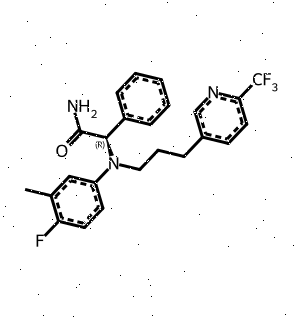 Cc1cc(N(CCCc2ccc(C(F)(F)F)nc2)[C@@H](C(N)=O)c2ccccc2)ccc1F